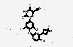 N#Cc1nn(-c2cc(Cl)c(Oc3ncc(O)c(C4CC(F)(F)C4)n3)c(Cl)c2)c(=O)[nH]c1=O